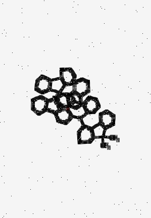 CC1(C)c2ccccc2-c2c(N(c3ccc4c5ccccc5n(C5(c6cccc7ccccc67)c6ccccc6-c6ccccc65)c4c3)c3ccccc3-c3ccccc3)cccc21